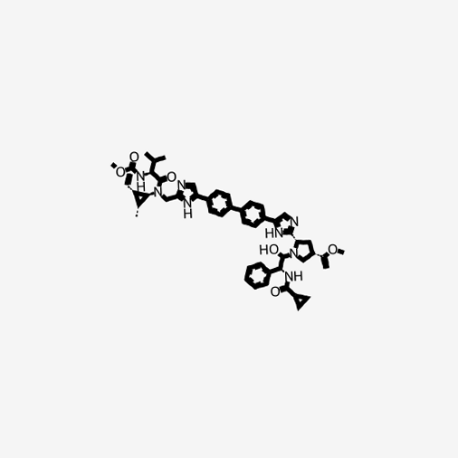 C=C[C@H]1[C@@H](C)[C@@H]1N(Cc1ncc(-c2ccc(-c3ccc(-c4cnc([C@@H]5C[C@H](C(=C)OC)CN5C(O)[C@H](NC(=O)C5CC5)c5ccccc5)[nH]4)cc3)cc2)[nH]1)C(=O)[C@@H](NC(=O)OC)C(C)C